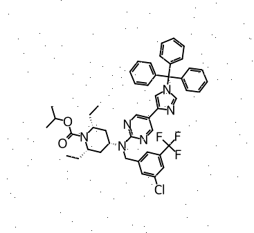 CC[C@@H]1C[C@H](N(Cc2cc(Cl)cc(C(F)(F)F)c2)c2ncc(-c3cn(C(c4ccccc4)(c4ccccc4)c4ccccc4)cn3)cn2)C[C@H](CC)N1C(=O)OC(C)C